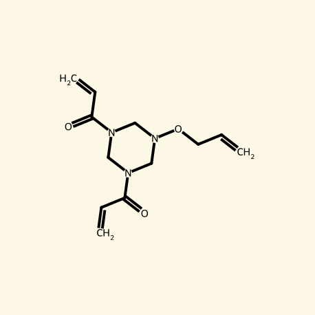 C=CCON1CN(C(=O)C=C)CN(C(=O)C=C)C1